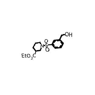 CCOC(=O)[C@H]1CCCN(S(=O)(=O)c2cccc(CO)c2)C1